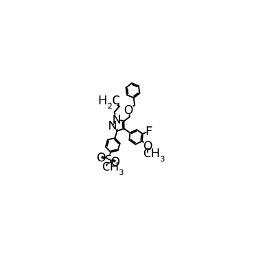 C=CCn1nc(-c2ccc(S(C)(=O)=O)cc2)c(-c2ccc(OC)c(F)c2)c1COCc1ccccc1